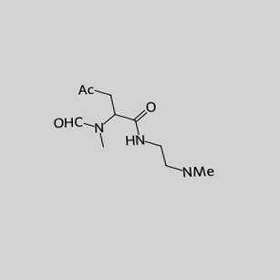 CNCCNC(=O)C(CC(C)=O)N(C)C=O